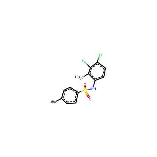 CC(C)(C)c1ccc(S(=O)(=O)Nc2ccc(Cl)c(F)c2C(=O)O)cc1